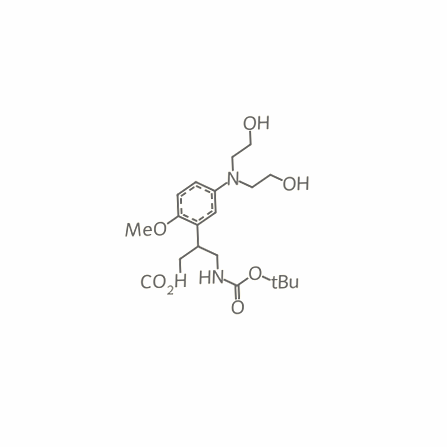 COc1ccc(N(CCO)CCO)cc1C(CNC(=O)OC(C)(C)C)CC(=O)O